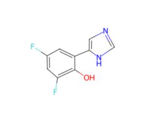 Oc1c(F)cc(F)cc1-c1cnc[nH]1